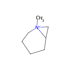 C[N+]12CCCCC1C2